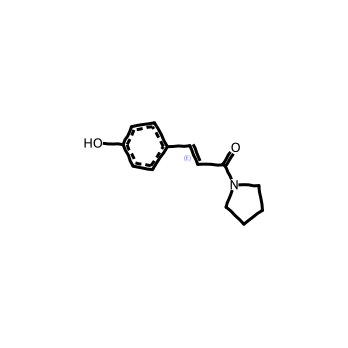 O=C(/C=C/c1ccc(O)cc1)N1CCCC1